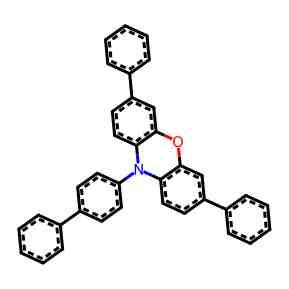 c1ccc(-c2ccc(N3c4ccc(-c5ccccc5)cc4Oc4cc(-c5ccccc5)ccc43)cc2)cc1